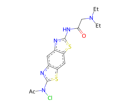 CCN(CC)CC(=O)Nc1nc2cc3nc(N(Cl)C(C)=O)sc3cc2s1